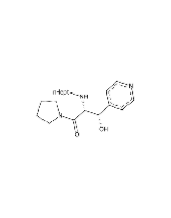 CCCCCCCN[C@@H](C(=O)N1CCCC1)[C@@H](O)c1ccncc1